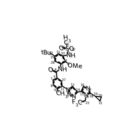 COc1c(NC(=O)c2ccc(C)c(-n3cc(-c4cnc(C5CC5)n4CC(F)(F)F)nn3)c2)cc(C(C)(C)C)cc1NS(C)(=O)=O